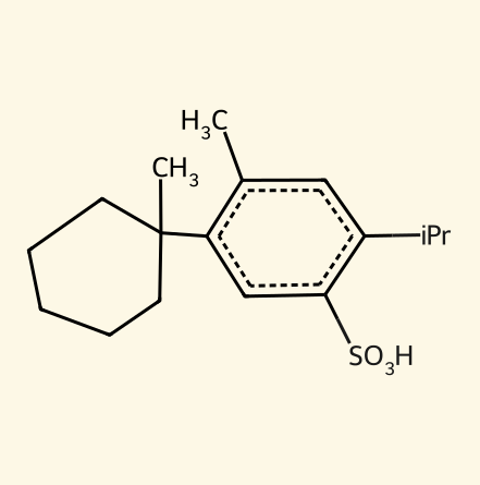 Cc1cc(C(C)C)c(S(=O)(=O)O)cc1C1(C)CCCCC1